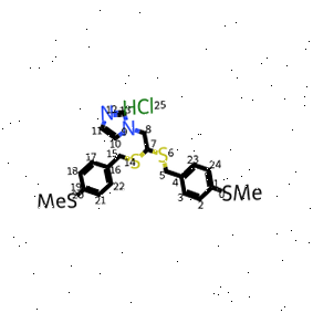 CSc1ccc(CSC(Cn2ccnc2)SCc2ccc(SC)cc2)cc1.Cl